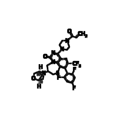 C=CC(=O)N1CCN(c2nc(=O)n3c4c(c(-c5c(F)cc(F)cc5F)c(C(F)(F)F)cc24)SCC(N2C[C@@H]4C[C@H]2CO4)C3)CC1